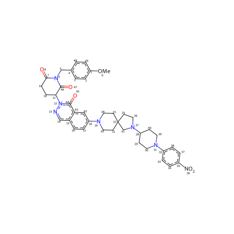 COc1ccc(CN2C(=O)CCC(n3ncc4ccc(N5CCC6(CC5)CCN(C5CCN(c7ccc([N+](=O)[O-])cc7)CC5)C6)cc4c3=O)C2=O)cc1